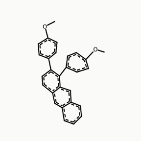 COc1ccc(-c2ccc3cc4ccccc4cc3c2-c2ccc(OC)cc2)cc1